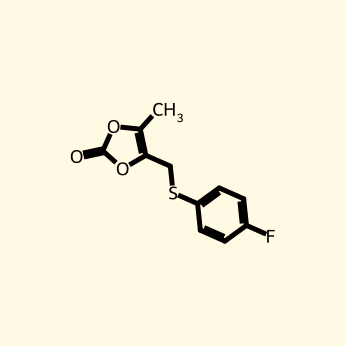 Cc1oc(=O)oc1CSc1ccc(F)cc1